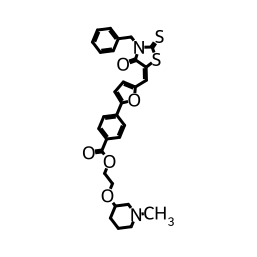 CN1CCCC(OCCOC(=O)c2ccc(-c3ccc(/C=C4/SC(=S)N(Cc5ccccc5)C4=O)o3)cc2)C1